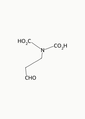 O=CCCN(C(=O)O)C(=O)O